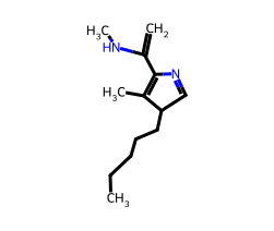 C=C(NC)C1=C(C)C(CCCCC)C=N1